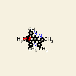 Cc1ccc2c(c1)-c1cc(C)ccc1C2c1c(C#N)c(C#N)c(C2c3ccc(C)cc3-c3cc(C)ccc32)c(C2c3ccc(C)cc3-c3cc(C)ccc32)c1C#N